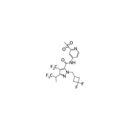 CC(c1nn(CC2CC(F)(F)C2)c(C(=O)Nc2ccnc(S(C)(=O)=O)c2)c1C(F)(F)F)C(F)(F)F